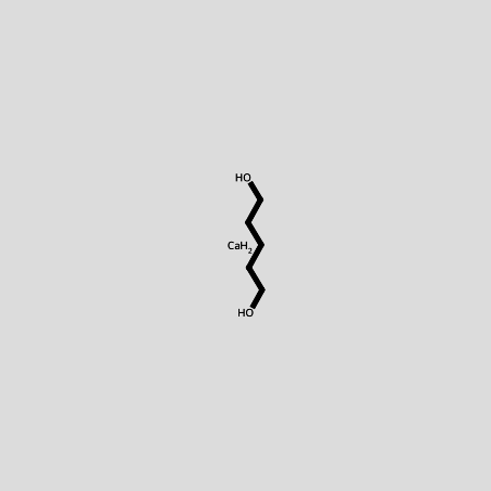 OCCCCCO.[CaH2]